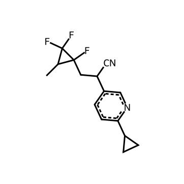 CC1C(F)(F)C1(F)CC(C#N)c1ccc(C2CC2)nc1